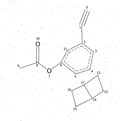 C#Cc1cccc(OC(C)=O)c1.C1CC2CCC12